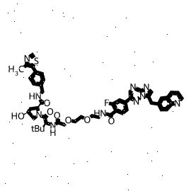 Cc1ncsc1-c1ccc(CNC(=O)[C@@H]2C[C@@H](O)CN2C(=O)[C@@H](NC(=O)COCCOCCNC(=O)c2ccc(-c3cnc4ncc(Cc5ccc6ncccc6c5)n4n3)cc2F)C(C)(C)C)cc1